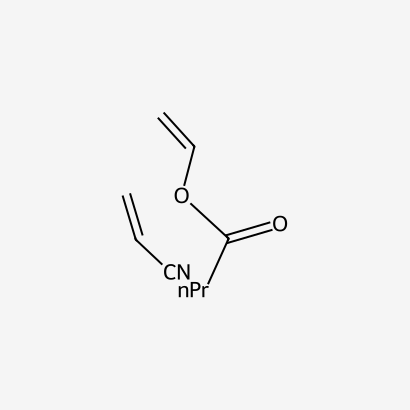 C=CC#N.C=COC(=O)CCC